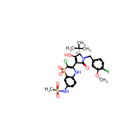 COc1cc(CN2C(=O)C(C3=C(Cl)S(=O)(=O)c4cc(NS(C)(=O)=O)ccc4N3)=C(O)[C@@H]2C(C)(C)C)ccc1F